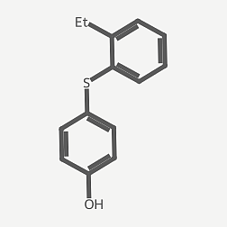 CCc1ccccc1Sc1ccc(O)cc1